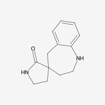 O=C1NCCC12CCNc1ccccc1C2